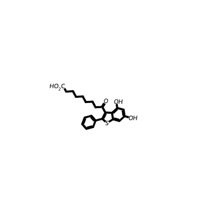 O=C(O)CCCCCCCC(=O)c1c(-c2ccccc2)sc2cc(O)cc(O)c12